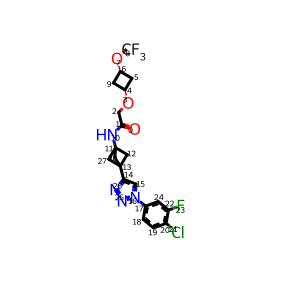 O=C(CO[C@H]1C[C@@H](OC(F)(F)F)C1)NC12CC(c3cn(-c4ccc(Cl)c(F)c4)nn3)(C1)C2